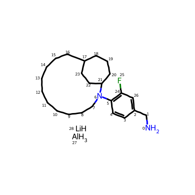 NCc1ccc(N2CCCCCCCCCCC3CCCC2CC3)c(F)c1.[AlH3].[LiH]